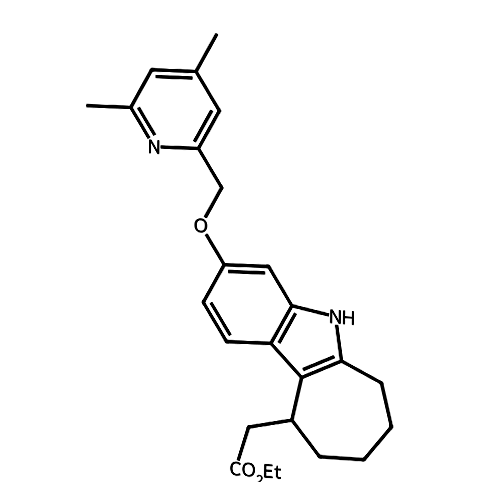 CCOC(=O)CC1CCCCc2[nH]c3cc(OCc4cc(C)cc(C)n4)ccc3c21